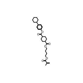 C=C(C)C(=O)OCCCCOC(=O)C1CCC(C(=O)Oc2ccc(C3CCCCC3)cc2)CC1